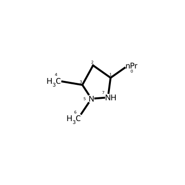 CCCC1CC(C)N(C)N1